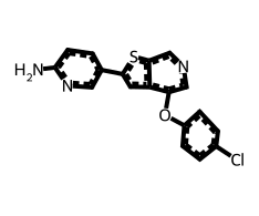 Nc1ccc(-c2cc3c(Oc4ccc(Cl)cc4)cncc3s2)cn1